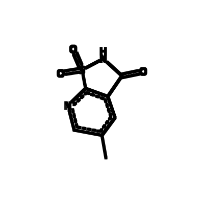 Cc1cnc2c(c1)C(=O)NS2(=O)=O